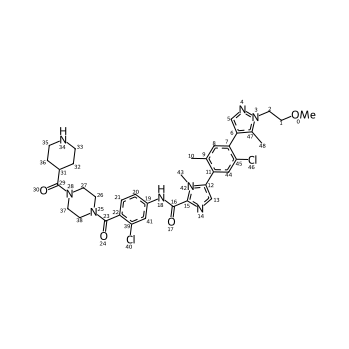 COCCn1ncc(-c2cc(C)c(-c3cnc(C(=O)Nc4ccc(C(=O)N5CCN(C(=O)C6CCNCC6)CC5)c(Cl)c4)n3C)cc2Cl)c1C